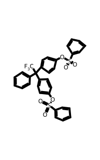 O=S(=O)(Oc1ccc(C(c2ccccc2)(c2ccc(OS(=O)(=O)c3ccccc3)cc2)C(F)(F)F)cc1)c1ccccc1